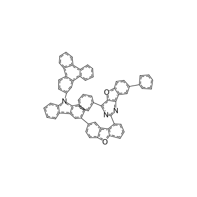 c1ccc(-c2ccc3oc4c(-c5ccccc5)nc(-c5cccc6oc7ccc(-c8ccc9c(c8)c8ccccc8n9-c8ccc9c%10ccccc%10c%10ccccc%10c9c8)cc7c56)nc4c3c2)cc1